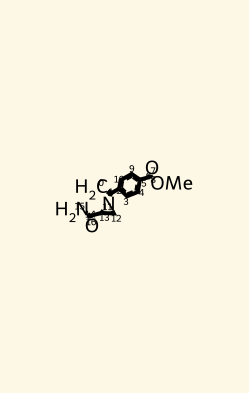 C=C(c1ccc(C(=O)OC)cc1)N1CC1C(N)=O